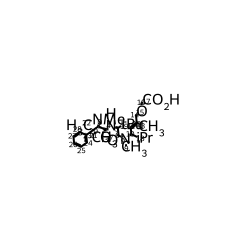 CNC(C(=O)NC(C(=O)N(C)C(/C=C(\C)COCC(=O)O)C(C)C)C(C)(C)C)C(C)(C)c1ccccc1